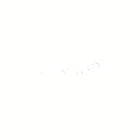 O=C(O)CC1CCN(C(=O)CCC(=O)N2CCN(c3ccnnc3)CC2)CC1